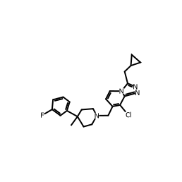 CC1(c2cccc(F)c2)CCN(Cc2ccn3c(CC4CC4)nnc3c2Cl)CC1